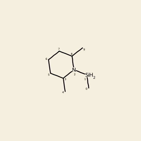 C[SiH2]N1C(C)CCCC1C